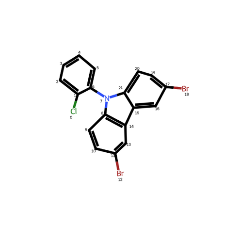 Clc1ccccc1-n1c2ccc(Br)cc2c2cc(Br)ccc21